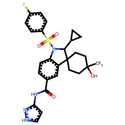 O=C(Nc1cc[nH]n1)c1ccc2c(c1)C1(CCC(O)(C(F)(F)F)CC1)C(C1CC1)N2S(=O)(=O)c1ccc(F)cc1